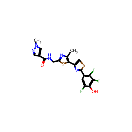 Cc1nc(CNC(=O)c2cnn(C)c2)sc1-c1csc(-c2cc(F)c(O)c(F)c2F)n1